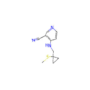 CSC1(CNc2ccncc2C#N)CC1